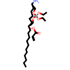 C=CC(=O)O.CCCCCCCCCCCCCCCCCCN.CCO[Si](OCC)(OCC)OCC